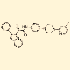 Cc1ccnc(N2CCN(c3ccc(NC(=O)C(=O)c4c(-c5ccccc5)cc5ccccn45)cc3)CC2)c1